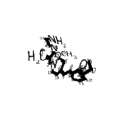 C=C(CN1CCC(CCc2cccc3c2OCC3)CC1)/C(=N\C=C/N)OC